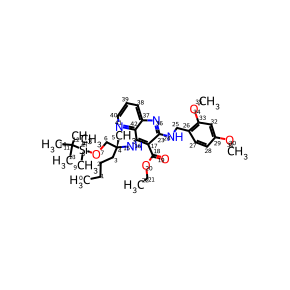 CCCC[C@](C)(CO[Si](C)(C)C(C)(C)C)Nc1c(C(=O)OCC)c(NCc2ccc(OC)cc2OC)nc2cccnc12